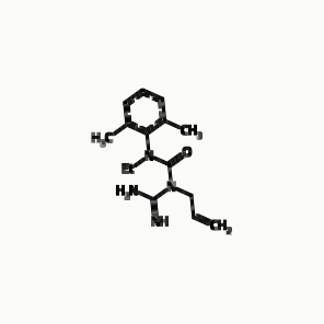 C=CCN(C(=N)N)C(=O)N(CC)c1c(C)cccc1C